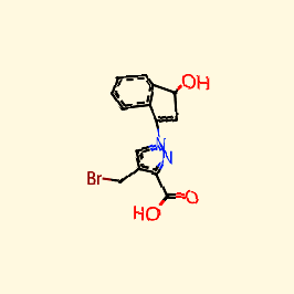 O=C(O)c1nn(C2=CC(O)c3ccccc32)cc1CBr